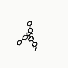 C=Cc1ccc(-c2ccc(N(C3(C)C=CC(c4ccccc4)C=C3)C3(C)C=CC(c4ccccc4)C=C3)cc2)cc1